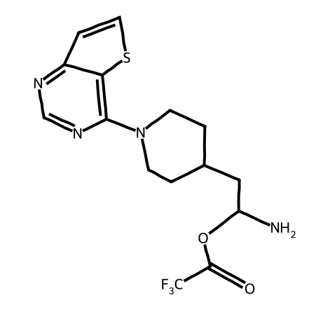 NC(CC1CCN(c2ncnc3ccsc23)CC1)OC(=O)C(F)(F)F